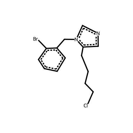 ClCCCCc1cncn1Cc1ccccc1Br